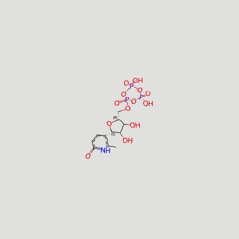 Cc1[nH]c(=O)ccc1[C@@H]1O[C@H](COP2(=O)OP(=O)(O)OP(=O)(O)O2)C(O)C1O